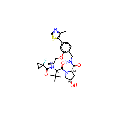 C=CCOc1cc(-c2scnc2C)ccc1CNC(=O)[C@@H]1C[C@@H](O)CN1C(=O)[C@@H](NC(=O)C1(F)CC1)C(C)(C)C